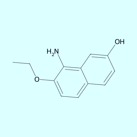 CCOc1ccc2ccc(O)cc2c1N